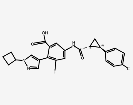 O=C(O)c1cc(NC(=O)[C@@H]2C[C@H]2c2ccc(Cl)cc2)cc(F)c1-c1cnn(C2CCC2)c1